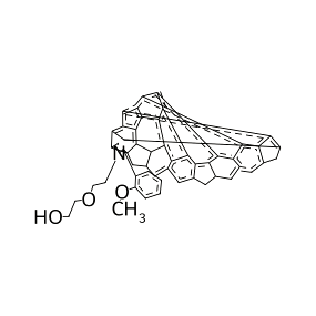 COc1ccccc1C1N(CCOCCO)CC2C3=c4c5c6c7c8c9c(cc%10c%11c%12c%13c%14c(cc%15c%16c(c4c6c(c%16%14)c%13c7c%119)=C(C3)C%15)=CC%12C%10)=CC3CC21C=5C83